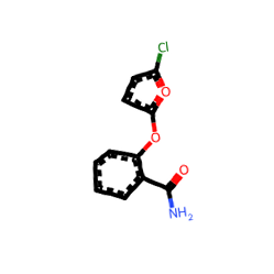 NC(=O)c1ccccc1Oc1ccc(Cl)o1